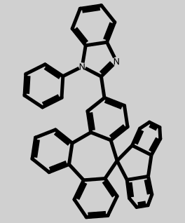 c1ccc(-n2c(-c3ccc4c(c3)-c3ccccc3-c3ccccc3C43c4ccccc4-c4ccccc43)nc3ccccc32)cc1